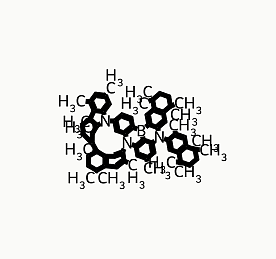 Cc1cc2c3c(c1)N(c1cc4c(cc1C)C(C)(C)CCC4(C)C)c1cc4c(cc1B3c1ccc3cc1N2c1cc2c(cc1C)C(C)(C)CCC2(C)C1CCC2(C)c5c(C)cc(C)cc5N3C2(C)C1)C(C)(C)CCC4(C)C